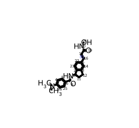 CN(C)c1ccc(C(=O)NC2CCc3cc(/C=C/C(=O)NO)ccc32)cc1